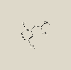 Cc1ccc(Br)c(OC(C)C)c1